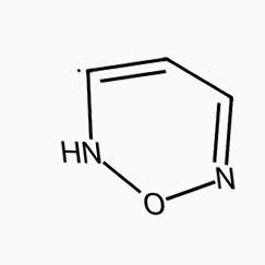 [C]1=CC=NON1